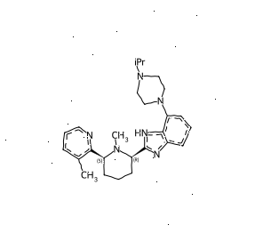 Cc1cccnc1[C@@H]1CCC[C@H](c2nc3cccc(N4CCN(C(C)C)CC4)c3[nH]2)N1C